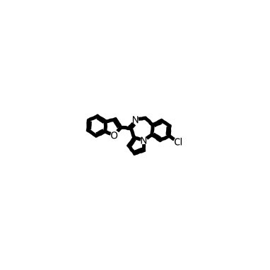 Clc1ccc2c(c1)-n1cccc1C(c1cc3ccccc3o1)=NC2